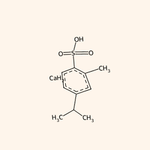 Cc1cc(C(C)C)ccc1S(=O)(=O)O.[CaH2]